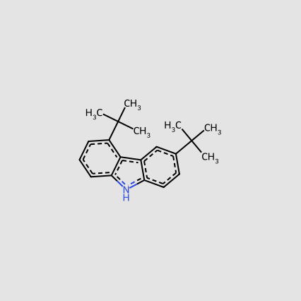 CC(C)(C)c1ccc2[nH]c3cccc(C(C)(C)C)c3c2c1